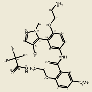 COc1ccc(OCC(F)(F)F)c(C(=O)Nc2ccc(OCCN)c(-c3c(Cl)cnn3C)c2)c1.O=C(O)C(F)(F)F